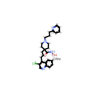 COc1ccc2ncc(Cl)c(CCCC3(C(=O)NO)CCN(CCCc4ccccn4)CC3)c2c1